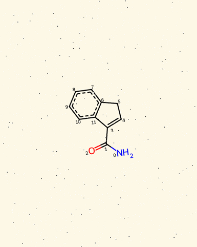 NC(=O)C1=CCc2ccccc21